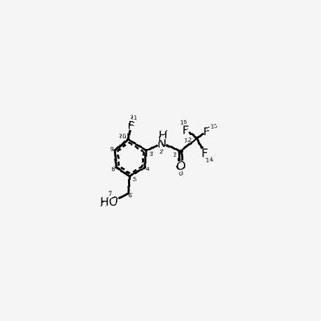 O=C(Nc1cc(CO)ccc1F)C(F)(F)F